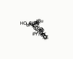 CC(C)C[C@@](N)(C(=O)c1cc2ccccc2s1)C(=O)N1CCN(C[C@](CO[Si](C)(C)C(C)(C)C)(NC(=O)O)C(C)(C)C)CC1